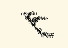 CCCCCC(CCCCC)CCOC(=O)CCCCCCCN(CCCCCCCC(=O)OCCC(CCCC)CCCC)CCCNS(=O)(=O)CCOC